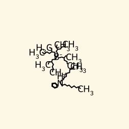 CCCCC(CC)CC[B-](CCC(CC)CCCC)(CCC(CC)CCCC)CCC(CC)CCCC.CCCCCCCCC[NH+](CCCCCCCCC)c1ccccc1